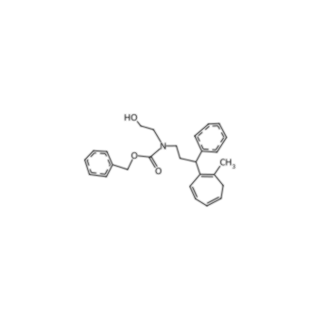 CC1=C(C(CCN(CCO)C(=O)OCc2ccccc2)c2ccccc2)C=CC=CC1